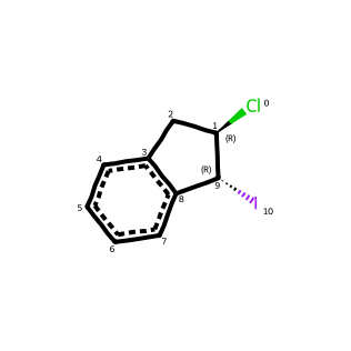 Cl[C@@H]1Cc2ccccc2[C@H]1I